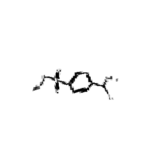 CCC(N)c1ccc(S(=O)(=O)NC(C)(C)C)cc1